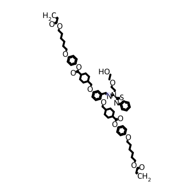 C=CC(=O)OCCCCCCOc1ccc(OC(=O)C2CCC(COc3ccc(OCC4CCC(C(=O)Oc5ccc(OCCCCCCOC(=O)C=C)cc5)CC4)c(/C=N/N(CCOCCO)c4nc5ccccc5s4)c3)CC2)cc1